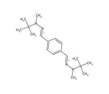 CN(/N=C/c1ccc(/C=N/N(C)[Si](C)(C)C)cc1)[Si](C)(C)C